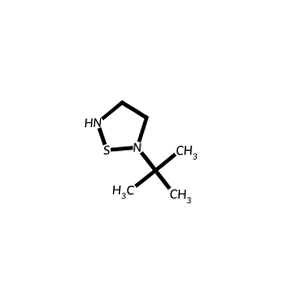 CC(C)(C)N1CCNS1